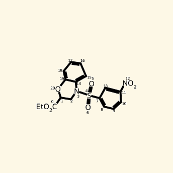 CCOC(=O)C1CN(S(=O)(=O)c2cccc([N+](=O)[O-])c2)c2ccccc2O1